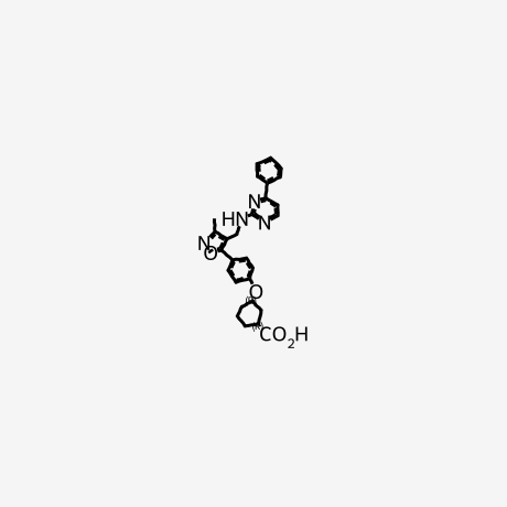 Cc1noc(-c2ccc(O[C@@H]3CCC[C@@H](C(=O)O)C3)cc2)c1CNc1nccc(-c2ccccc2)n1